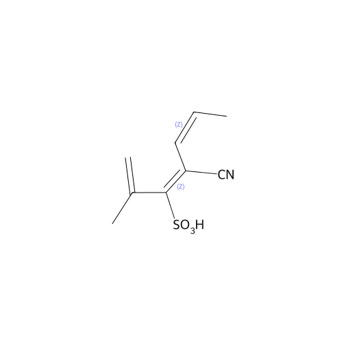 C=C(C)/C(=C(C#N)\C=C/C)S(=O)(=O)O